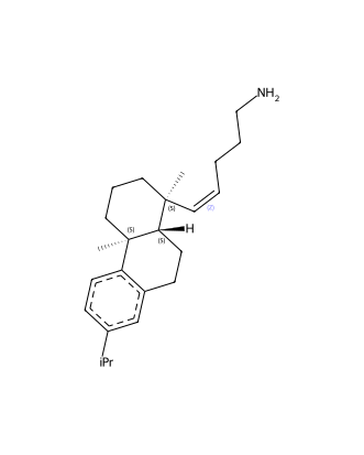 CC(C)c1ccc2c(c1)CC[C@H]1[C@](C)(/C=C\CCCN)CCC[C@]21C